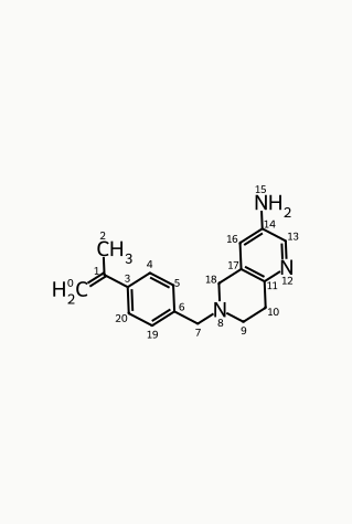 C=C(C)c1ccc(CN2CCc3ncc(N)cc3C2)cc1